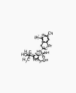 CC(C)c1cc(C#N)nc(C(C)C)c1CC(=O)NS(=N)(=O)c1sc(C(C)(C)O)nc1CO